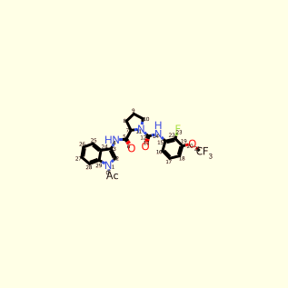 CC(=O)n1cc(NC(=O)C2CCCN2C(=O)Nc2cccc(OC(F)(F)F)c2F)c2ccccc21